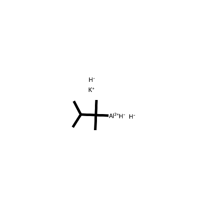 CC(C)[C](C)(C)[Al+2].[H-].[H-].[H-].[K+]